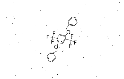 FC(F)(F)c1cc(OCc2ccccc2)c(C(F)(F)F)cc1OCc1ccccc1